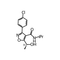 CC(C)NC(=O)c1c(-c2ccc(Cl)cc2)noc1[C@H](C)O